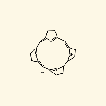 C1=C2CCC(=N2)C=C2CCC(N2)C2CCC(=N2)C=C2CCC1=N2.[Zn]